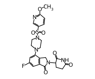 COc1ccc(S(=O)(=O)N2CCN(c3cc(F)cc4c3CN(C3CCC(=O)NC3=O)C4=O)CC2)cn1